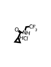 Cl.O=C(NCC(F)(F)F)C1CC1